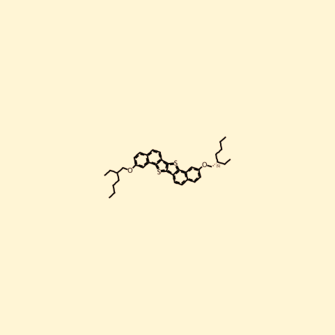 CCCCC(CC)COc1ccc2ccc3c(sc4c5ccc6ccc(OC[C@@H](CC)CCCC)cc6c5sc34)c2c1